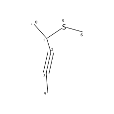 [CH2]C(C#CC)SC